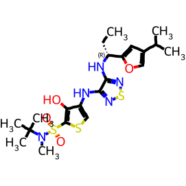 CC[C@@H](Nc1nsnc1Nc1csc(S(=O)(=O)N(C)C(C)(C)C)c1O)c1cc(C(C)C)co1